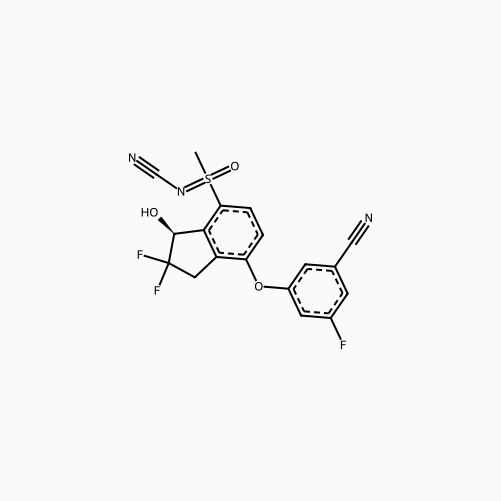 CS(=O)(=NC#N)c1ccc(Oc2cc(F)cc(C#N)c2)c2c1[C@H](O)C(F)(F)C2